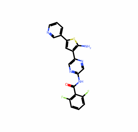 Nc1sc(-c2cccnc2)cc1-c1cnc(NC(=O)c2c(F)cccc2F)cn1